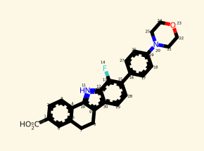 O=C(O)c1ccc2c(c1)CCc1c-2[nH]c2c(F)c(-c3ccc(N4CCOCC4)cc3)ccc12